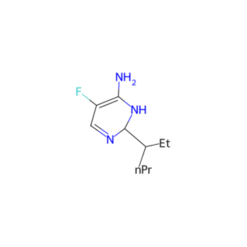 CCCC(CC)C1N=CC(F)=C(N)N1